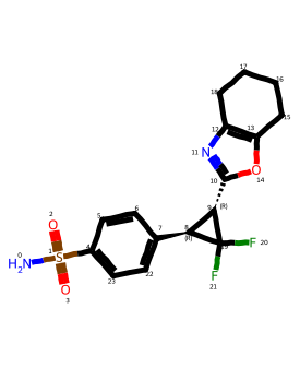 NS(=O)(=O)c1ccc([C@H]2[C@H](c3nc4c(o3)CCCC4)C2(F)F)cc1